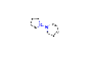 C1=CCN(N2C=CCC2)C=C1